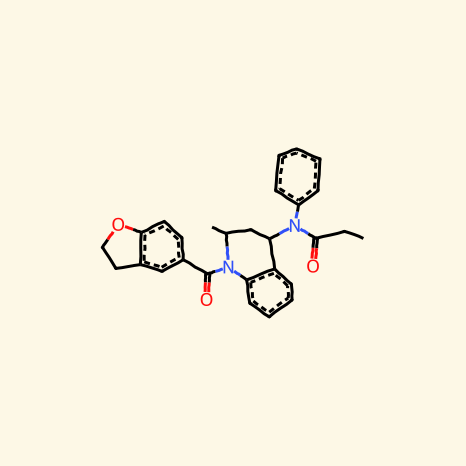 CCC(=O)N(c1ccccc1)C1CC(C)N(C(=O)c2ccc3c(c2)CCO3)c2ccccc21